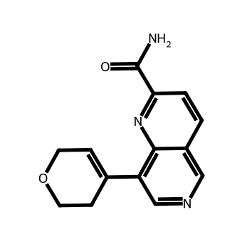 NC(=O)c1ccc2cncc(C3=CCOCC3)c2n1